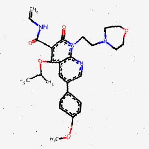 C=CNC(=O)c1c(OC(C)C)c2cc(-c3ccc(OC)cc3)cnc2n(CCN2CCOCC2)c1=O